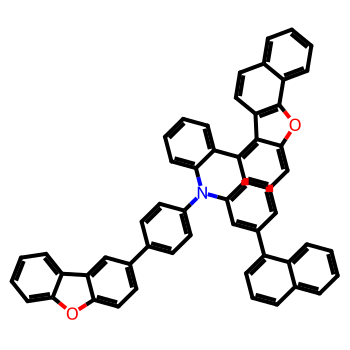 c1cc(-c2cccc3ccccc23)cc(N(c2ccc(-c3ccc4oc5ccccc5c4c3)cc2)c2ccccc2-c2cccc3oc4c5ccccc5ccc4c23)c1